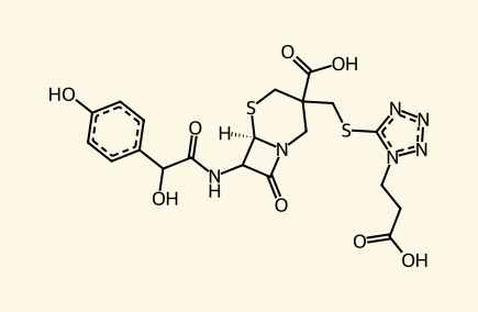 O=C(O)CCn1nnnc1SCC1(C(=O)O)CS[C@@H]2C(NC(=O)C(O)c3ccc(O)cc3)C(=O)N2C1